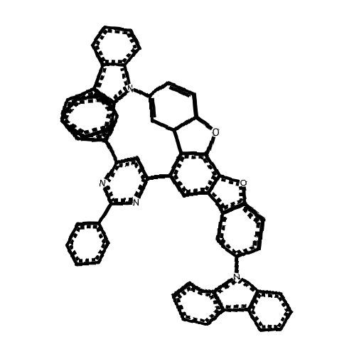 C1=CC2Oc3c(c(-c4cc(-c5ccccc5)nc(-c5ccccc5)n4)cc4c3oc3ccc(-n5c6ccccc6c6ccccc65)cc34)C2C=C1n1c2ccccc2c2ccccc21